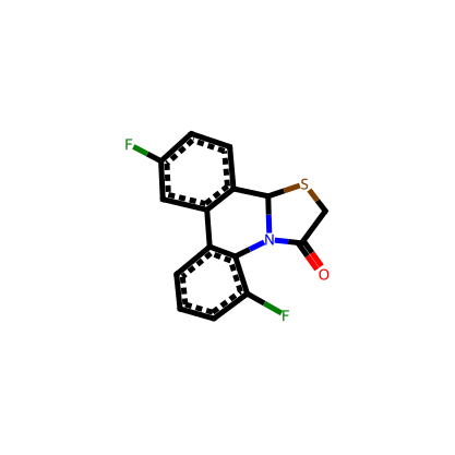 O=C1CSC2c3ccc(F)cc3-c3cccc(F)c3N12